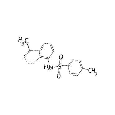 Cc1ccc(S(=O)(=O)Nc2cccc3c(C)cccc23)cc1